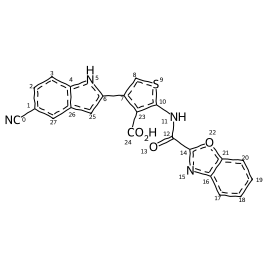 N#Cc1ccc2[nH]c(-c3csc(NC(=O)c4nc5ccccc5o4)c3C(=O)O)cc2c1